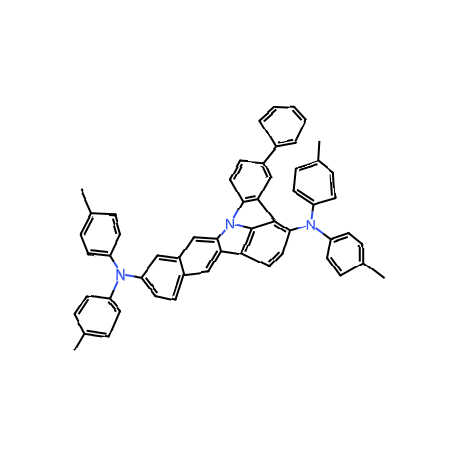 Cc1ccc(N(c2ccc(C)cc2)c2ccc3cc4c5ccc(N(c6ccc(C)cc6)c6ccc(C)cc6)c6c7cc(-c8ccccc8)ccc7n(c4cc3c2)c56)cc1